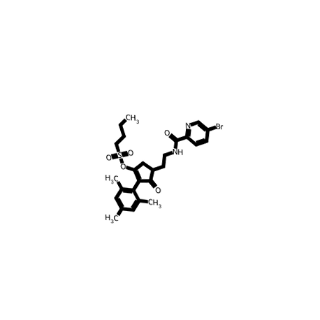 CCCCS(=O)(=O)OC1=C(c2c(C)cc(C)cc2C)C(=O)C(CCNC(=O)c2ccc(Br)cn2)C1